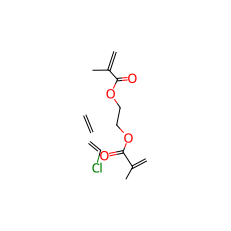 C=C.C=C(C)C(=O)OCCOC(=O)C(=C)C.C=CCl